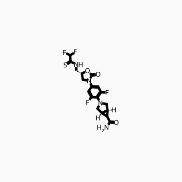 NC(=O)C1[C@H]2CN(c3c(F)cc(N4C[C@H](CNC(=S)C(F)F)OC4=O)cc3F)C[C@@H]12